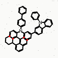 c1ccc(-c2ccc(N(c3cccc(-c4ccc5c6ccccc6n(-c6ccccc6)c5c4)c3)c3ccccc3-c3cccc4cccc(C5CCCCC5)c34)cc2)cc1